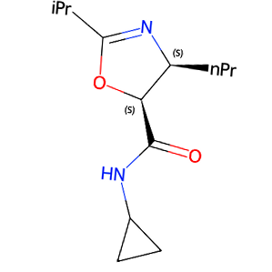 CCC[C@@H]1N=C(C(C)C)O[C@@H]1C(=O)NC1CC1